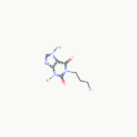 CCCn1cnc2c1c(=O)n(CCCC(C)=O)c(=O)n2CC